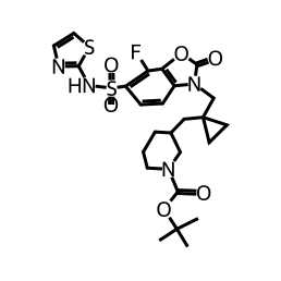 CC(C)(C)OC(=O)N1CCCC(CC2(Cn3c(=O)oc4c(F)c(S(=O)(=O)Nc5nccs5)ccc43)CC2)C1